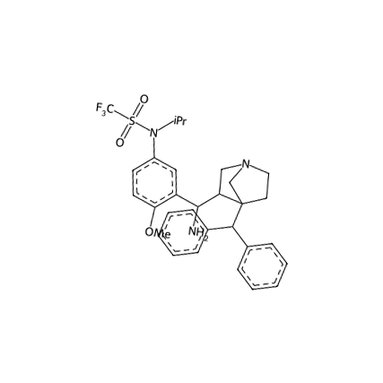 COc1ccc(N(C(C)C)S(=O)(=O)C(F)(F)F)cc1C(N)C1CN2CCC1(C(c1ccccc1)c1ccccc1)C2